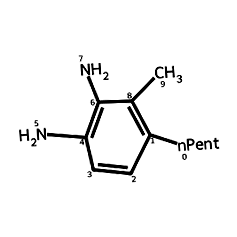 CCCCCc1ccc(N)c(N)c1C